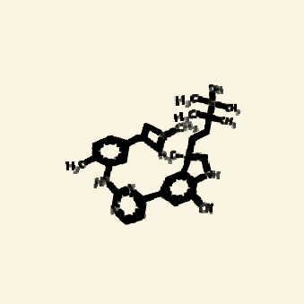 Cc1ccc(C2CN(C)C2)cc1Nc1nccc(-c2cc(C#N)c3c(c2)[C@@](C)(CCC(C)(C)[Si](C)(C)O)CN3)n1